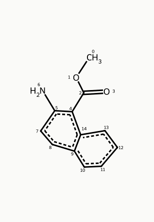 COC(=O)c1c(N)ccc2ccccc12